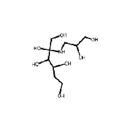 OCCC(O)C(O)C(O)(CO)NCC(O)CO